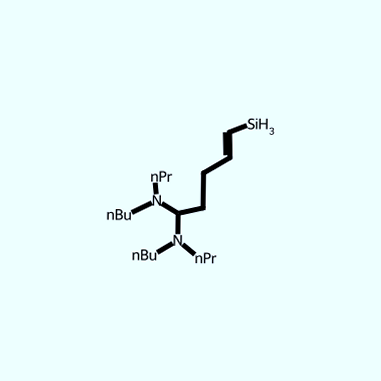 CCCCN(CCC)C(CCC=C[SiH3])N(CCC)CCCC